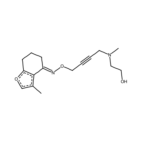 Cc1coc2c1/C(=N/OCC#CCN(C)CCO)CCC2